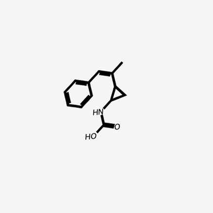 CC(=Cc1ccccc1)C1CC1NC(=O)O